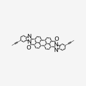 CC#Cc1ccc2nc3c4ccc5c6ccc7c(=O)n8c9cc(C#CC)ccc9nc8c8ccc(c9ccc(c(=O)n3c2c1)c4c95)c6c78